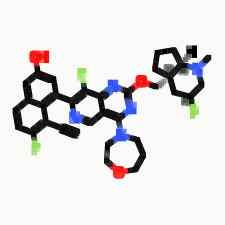 C#Cc1c(F)ccc2cc(O)cc(-c3ncc4c(N5CCCOCC5)nc(OC[C@]56CCC[C@H]5N(C)C[C@@H](F)C6)nc4c3F)c12